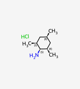 C[C@H]1C[C@@H](C)[C@@H](N)[C@@H](C)C1.Cl